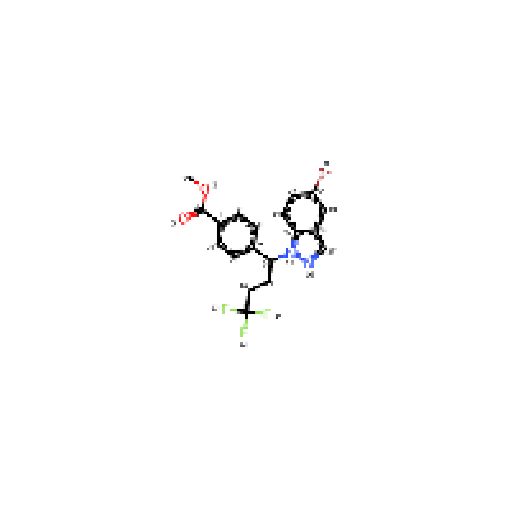 COC(=O)c1ccc(C(CCC(F)(F)F)n2ncc3cc(Br)ccc32)cc1